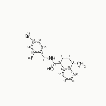 C=C1CCC(C(O)NCc2ccc(Br)cc2F)c2cccnc21